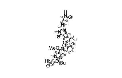 COc1nc(-c2cccc(-c3cccc(-c4cc5c(=O)n(C)c(CNC[C@H]6CNC(=O)C6)nn5c4)c3Cl)c2Cl)ccc1CN(C[C@@H]1CCC(=O)N1)C(=O)OC(C)(C)C